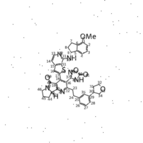 COc1cccc2c1CC[C@H]2Nc1nccc2cc(-c3c4c(nc(CCc5cccc(C6CCOC6)c5)c3-c3noc(=O)[nH]3)[C@@H]3CCCN3C4=O)sc12